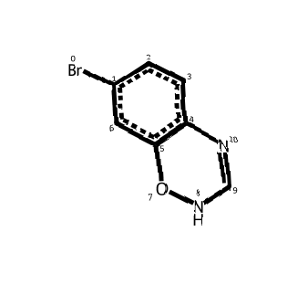 Brc1ccc2c(c1)ON[C]=N2